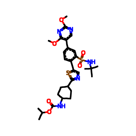 COc1ncc(-c2ccc(-c3cnc(C4CCC(NC(=O)OC(C)C)CC4)s3)c(S(=O)(=O)NC(C)(C)C)c2)c(OC)n1